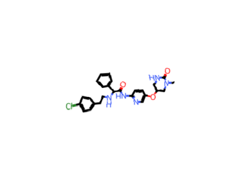 CN1CC(Oc2ccc(NC(=O)C(NCCc3ccc(Cl)cc3)c3ccccc3)nc2)CNC1=O